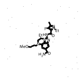 CC[C@H]1CN(CCCOC)c2cc(C(N)=O)cc3nc(NC(=O)c4c(F)c(C)nn4CC)n1c23